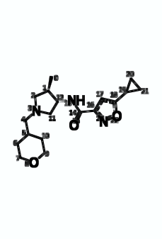 C[C@@H]1CN(CC2CCOCC2)C[C@H]1NC(=O)c1cc(C2CC2)on1